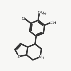 COc1c(O)cc(C2CNCC3SC=CC32)cc1Cl